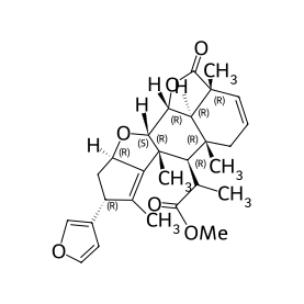 COC(=O)C(C)[C@@H]1[C@@]2(C)CC=C[C@@]3(C)C(=O)O[C@@H]([C@H]4O[C@@H]5C[C@@H](c6ccoc6)C(C)=C5[C@]41C)[C@H]23